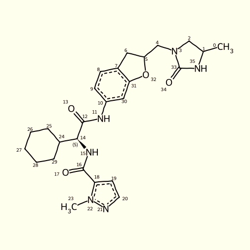 CC1CN(CC2Cc3ccc(NC(=O)[C@@H](NC(=O)c4ccnn4C)C4CCCCC4)cc3O2)C(=O)N1